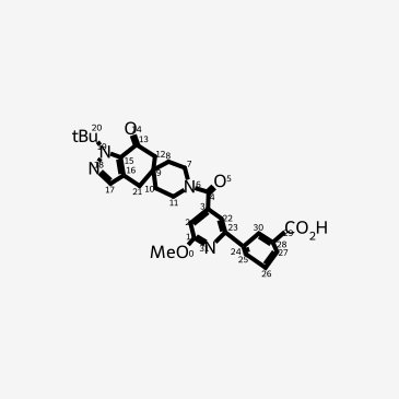 COc1cc(C(=O)N2CCC3(CC2)CC(=O)c2c(cnn2C(C)(C)C)C3)cc(-c2cccc(C(=O)O)c2)n1